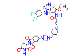 COc1cc2ncnc(Nc3ccc(F)c(Cl)c3)c2cc1NC(=O)/C=C/CN1CCC(CN2CCN(c3ccc4c(c3)C(=O)N(C3CCC(=O)NC3=O)C4=O)CC2)CC1